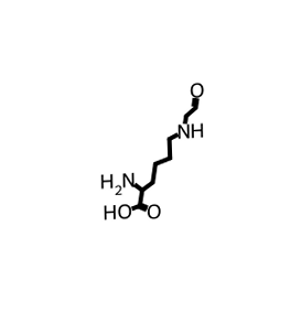 NC(CCCCNCC=O)C(=O)O